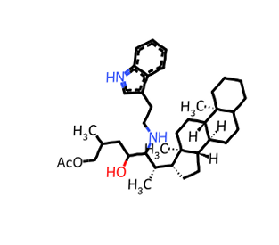 CC(=O)OCC(C)CC(O)C(NCCc1c[nH]c2ccccc12)[C@@H](C)[C@H]1CC[C@H]2[C@@H]3CCC4CCCC[C@]4(C)[C@H]3CC[C@]12C